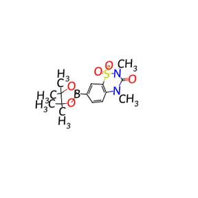 CN1C(=O)N(C)S(=O)(=O)c2cc(B3OC(C)(C)C(C)(C)O3)ccc21